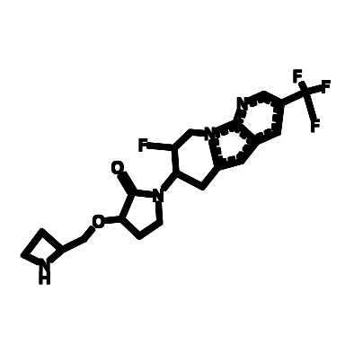 O=C1C(OCC2CCN2)CCN1C1Cc2cc3cc(C(F)(F)F)cnc3n2CC1F